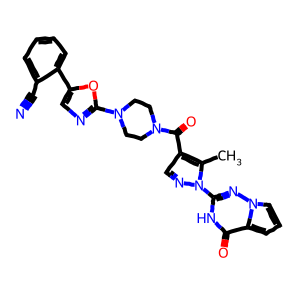 Cc1c(C(=O)N2CCN(c3ncc(-c4ccccc4C#N)o3)CC2)cnn1-c1nn2cccc2c(=O)[nH]1